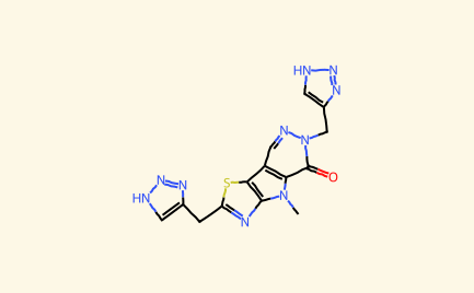 Cn1c2nc(Cc3c[nH]nn3)sc2c2cnn(Cc3c[nH]nn3)c(=O)c21